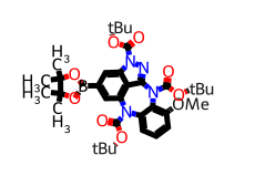 COc1cccc2c1N(C(=O)OC(C)(C)C)c1nn(C(=O)OC(C)(C)C)c3cc(B4OC(C)(C)C(C)(C)O4)cc(c13)N2C(=O)OC(C)(C)C